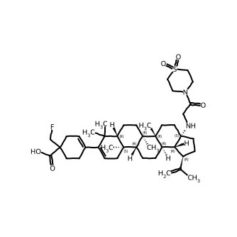 C=C(C)[C@@H]1CC[C@]2(NCC(=O)N3CCS(=O)(=O)CC3)CC[C@]3(C)[C@H](CC[C@@H]4[C@@]5(C)CC=C(C6=CCC(CF)(C(=O)O)CC6)C(C)(C)[C@@H]5CC[C@]43C)[C@@H]12